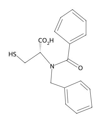 O=C(O)[C@@H](CS)N(Cc1ccccc1)C(=O)c1ccccc1